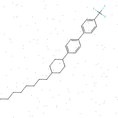 CCCCCCCCCC1CCC(c2ccc(-c3ccc(C(F)(F)F)cc3)cc2)CC1